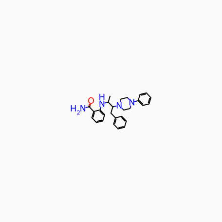 CC(Nc1ccccc1C(N)=O)C(Cc1ccccc1)N1CCN(c2ccccc2)CC1